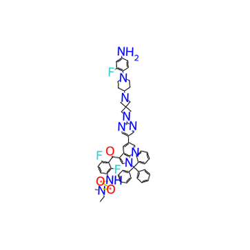 CCN(C)S(=O)(=O)Nc1ccc(F)c(C(=O)c2cn(C(c3ccccc3)(c3ccccc3)c3ccccc3)c3ncc(-c4cnc(N5CC6(C5)CN(C5CCN(c7ccc(N)cc7F)CC5)C6)nc4)cc23)c1F